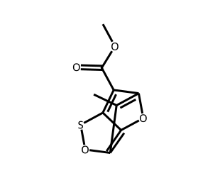 COC(=O)c1c2c3oc1c(C)c3OS2